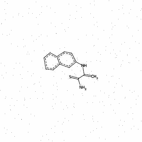 C=C(Nc1ccc2ccccc2c1)C(N)=S